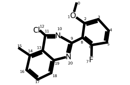 COc1cccc(F)c1-c1nc(Cl)c2c(C)cccc2n1